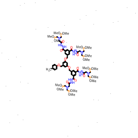 COP(CN(CC(=O)NNC(=O)c1cc(COc2cc(COc3ccc(C)cc3)cc(OCc3cc(C(=O)NNC(=O)CN(CP(OC)OC)CP(OC)OC)cc(C(=O)NNC(=O)CN(CP(OC)OC)CP(OC)OC)c3)c2)cc(C(=O)NNC(=O)CN(CP(OC)OC)CP(OC)OC)c1)CP(OC)OC)OC